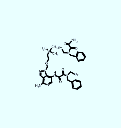 CC(C)CN(Cc1ccccc1)C(=O)C(=O)Nc1cnc(N)c2cnn(COCC[Si](C)(C)C)c12.CC(C)CN(Cc1ccccc1)C(=O)C(N)=O